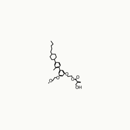 C=C(CO)C(=O)OCCOc1cc(OCCOC)cc(-c2ccc(C3CCC(CCCCC)CC3)cc2C)c1